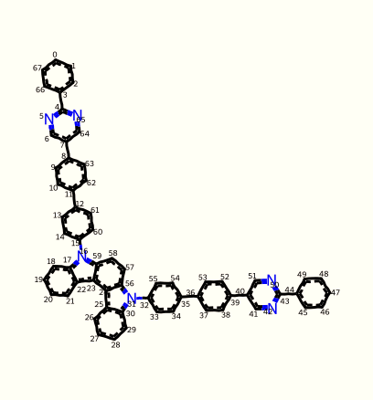 c1ccc(-c2ncc(-c3ccc(-c4ccc(-n5c6ccccc6c6c7c8ccccc8n(-c8ccc(-c9ccc(-c%10cnc(-c%11ccccc%11)nc%10)cc9)cc8)c7ccc65)cc4)cc3)cn2)cc1